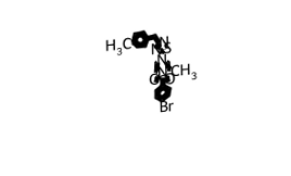 Cc1ccc(Cc2nsc(N3CCN(S(=O)(=O)c4ccc(Br)cc4)C(C)C3)n2)cc1